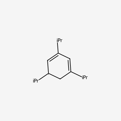 CC(C)[C]1C=C(C(C)C)C=C(C(C)C)C1